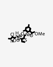 COCC(=O)c1cc(C)cc(C)c1NC(=O)c1sccc1S(=O)(=O)Nc1onc(C)c1Cl